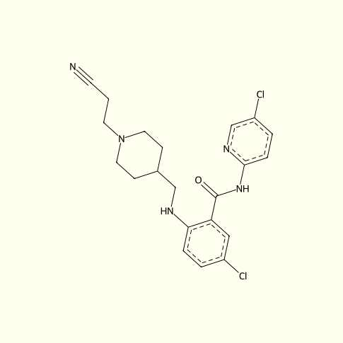 N#CCCN1CCC(CNc2ccc(Cl)cc2C(=O)Nc2ccc(Cl)cn2)CC1